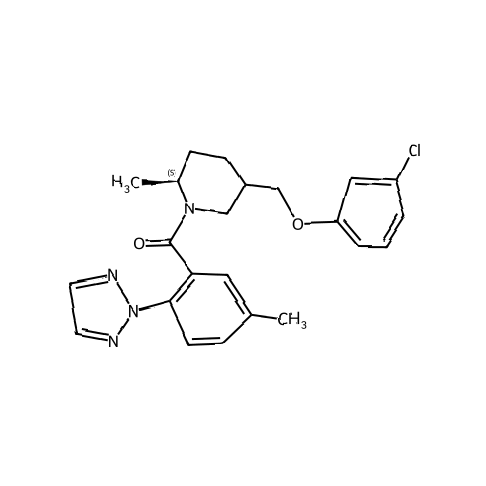 Cc1ccc(-n2nccn2)c(C(=O)N2CC(COc3cccc(Cl)c3)CC[C@@H]2C)c1